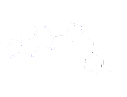 CCCC1=C2C(=NC3=NC=C[N+]32[O-])NC(c2cnn(Cc3cccc(C(F)(F)F)c3)c2)=N1